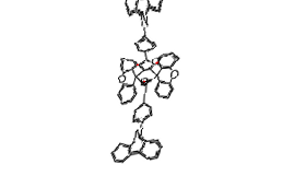 c1ccc2c(c1)Oc1ccccc1C21c2cc(-c3ccc(-n4c5ccccc5c5ccccc54)cc3)oc2C2(c3ccccc3Oc3ccccc32)c2cc(-c3ccc(-n4c5ccccc5c5ccccc54)cc3)oc21